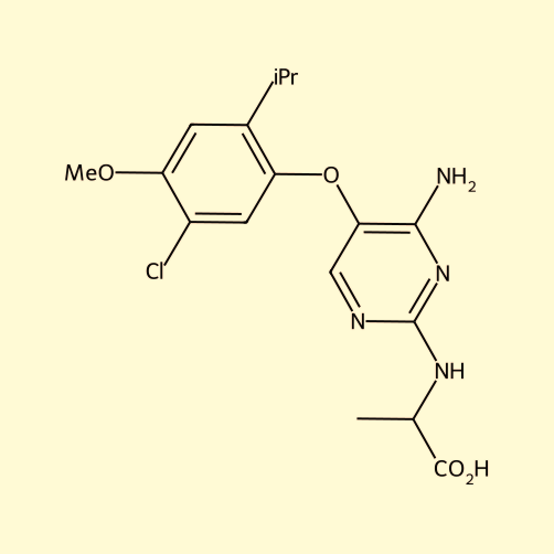 COc1cc(C(C)C)c(Oc2cnc(NC(C)C(=O)O)nc2N)cc1Cl